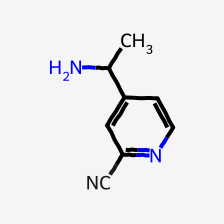 CC(N)c1ccnc(C#N)c1